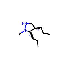 CC/C=C1/CNN(C)/C1=C/CC